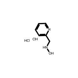 Cl.Cl.ONCc1ccccn1